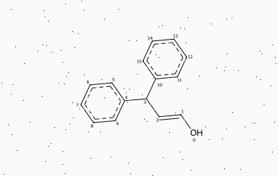 OC=CC(c1ccccc1)c1ccccc1